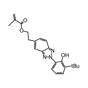 C=C(C)C(=O)OCCc1ccc2nn(-c3cccc(C(C)(C)C)c3O)nc2c1